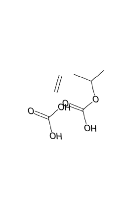 C=C.CC(C)OC(=O)O.O=C(O)O